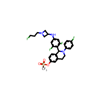 O=S(=O)(Oc1ccc2c(c1)CCN(c1ccc(F)cc1)C2c1c(F)cc(NC2CN(CCCF)C2)cc1F)C(F)(F)F